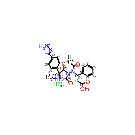 CC(=O)N([C@@H](CC(=O)O)c1ccccc1)N1C(=O)N[C@@](C)(c2ccc(C=NN)cc2)C1=O.Cl